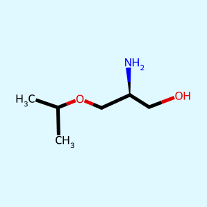 CC(C)OC[C@@H](N)CO